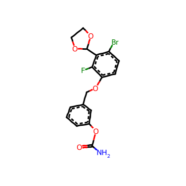 NC(=O)Oc1cccc(COc2ccc(Br)c(C3OCCO3)c2F)c1